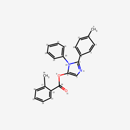 Cc1ccc(-c2ncc(OC(=O)c3ccccc3C)n2-c2ccccc2)cc1